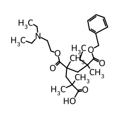 CCN(CC)CCOC(=O)C(C)(CC(C)(C)C(=O)O)CC(C)(CC)C(=O)OCc1ccccc1